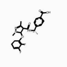 CC1=NN(C)C(OC2=C(F)C(F)=CCC2)C1C(=O)N[C@@H](C)c1ccc(C(=O)O)cc1